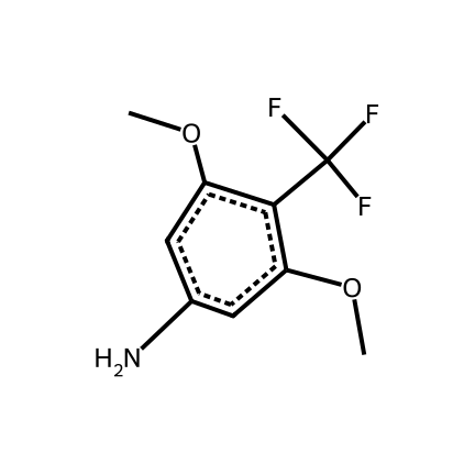 COc1cc(N)cc(OC)c1C(F)(F)F